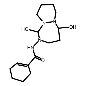 O=C(NN1CCC(O)N2CCCCN2C1O)C1=CCCCC1